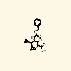 O=C(NC(C(=O)C(Br)C(=O)O)C(C1CC1)C1CC1)OCc1ccccc1